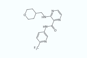 O=C(Nc1ccc(C(F)(F)F)nc1)c1nccnc1NCC1CCOCC1